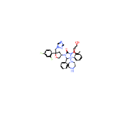 CCC(CCO)N1C(=O)N(C2COC(Cn3cncn3)(c3ccc(F)cc3F)C2)C(c2ccccc2)[N+]1(c1ccccc1OC)N1CCNCC1